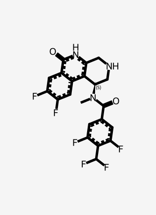 CN(C(=O)c1cc(F)c(C(F)F)c(F)c1)[C@@H]1CNCc2[nH]c(=O)c3cc(F)c(F)cc3c21